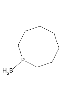 BP1CCCCCCC1